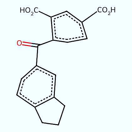 O=C(O)c1ccc(C(=O)c2ccc3c(c2)CCC3)c(C(=O)O)c1